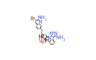 CC1(C)O[C@@H]2[C@@H](CCc3ccc4cc(Br)c(N)nc4c3)C[C@@H](n3c4ccccc4c4c(N)ncnc43)[C@@H]2O1